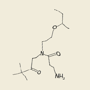 CCC(C)OCCN(CC(=O)C(C)(C)C)C(=O)CN